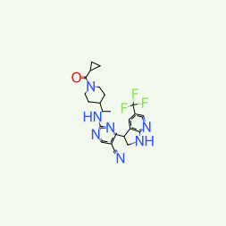 CC(Nc1ncc(C#N)c(C2CNc3ncc(C(F)(F)F)cc32)n1)C1CCN(C(=O)C2CC2)CC1